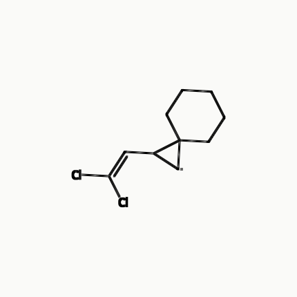 ClC(Cl)=CC1[CH]C12CCCCC2